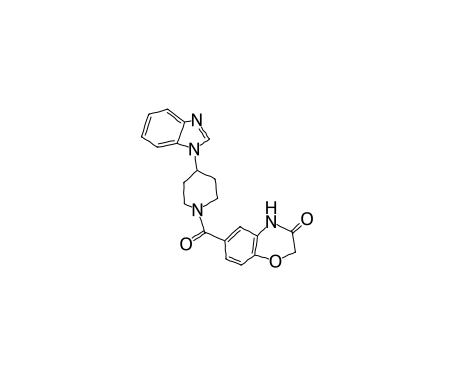 O=C1COc2ccc(C(=O)N3CCC(n4cnc5ccccc54)CC3)cc2N1